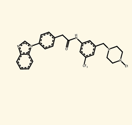 CCN1CCN(Cc2cc(NC(=O)Cc3ccc(-n4cnc5ccccc54)cc3)cc(C(F)(F)F)c2)CC1